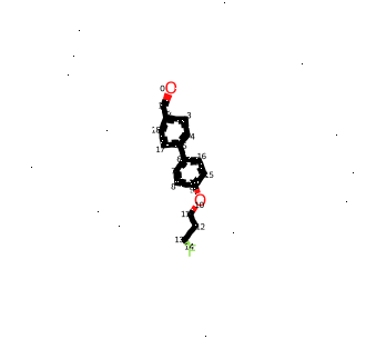 O=Cc1ccc(-c2ccc(OCCCF)cc2)cc1